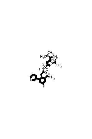 CC(C)c1cc(F)cc(-c2cccnc2)c1CC(=O)NS(=O)(=O)c1cc(C(C)N(C)C)n(C(C)C)n1